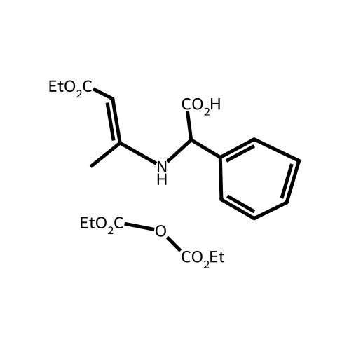 CCOC(=O)C=C(C)NC(C(=O)O)c1ccccc1.CCOC(=O)OC(=O)OCC